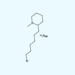 Br.CN1CCCCC1CCCCCCBr.N